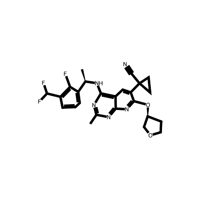 Cc1nc(N[C@H](C)c2cccc(C(F)F)c2F)c2cc(C3(C#N)CC3)c(O[C@H]3CCOC3)nc2n1